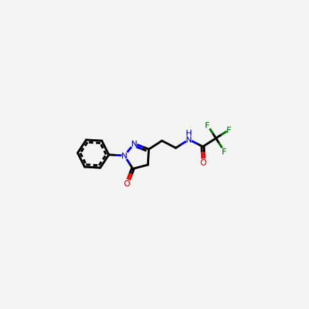 O=C1CC(CCNC(=O)C(F)(F)F)=NN1c1ccccc1